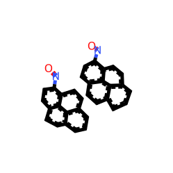 O=Nc1ccc2ccc3cccc4ccc1c2c34.O=Nc1ccc2ccc3cccc4ccc1c2c34